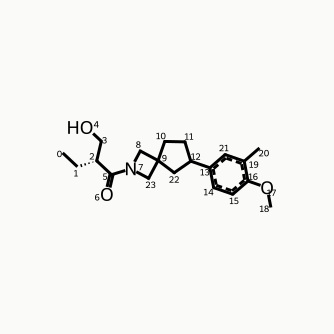 CC[C@H](CO)C(=O)N1CC2(CCC(c3ccc(OC)c(C)c3)C2)C1